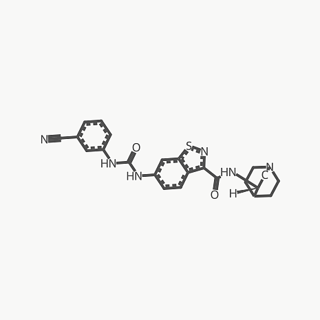 N#Cc1cccc(NC(=O)Nc2ccc3c(C(=O)N[C@@H]4CN5CCC4CC5)nsc3c2)c1